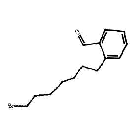 O=Cc1ccccc1CCCCCCCBr